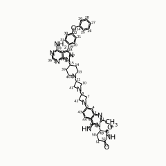 Cc1nc2cc(N3CC(N4CC(N5CCC(n6nc(-c7ccc(Oc8ccccc8)cc7)c7c(N)ncnc76)CC5)C4)C3)ccc2c(=N)n1C1CCC(=O)NC1=O